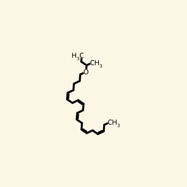 CC/C=C\C/C=C\C/C=C\C/C=C\C/C=C\CCCCOC(C)CC